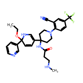 CCOC1(c2cccnc2)C=CC(C2(NC(=O)CCNC)CCN(c3ccc(C(F)(F)F)cc3C#N)CC2)=CN1